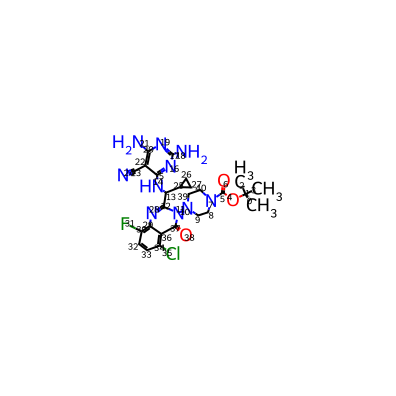 CC(C)(C)OC(=O)N1CCN(n2c(C(Nc3nc(N)nc(N)c3C#N)C3CC3)nc3c(F)ccc(Cl)c3c2=O)CC1